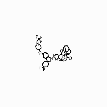 O=C(NC1(C(=O)O)C2CC3CC(C2)CC1C3)c1cnc(N2CC3(CCC(F)(F)CC3)c3cc(OC4CCN(CC(F)(F)F)CC4)ccc32)nc1C(F)(F)F